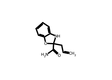 C=CCC1(C(N)=O)Nc2ccccc2O1